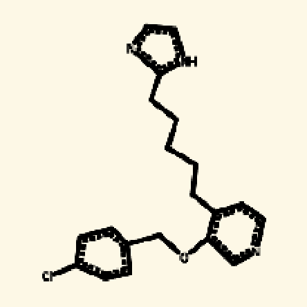 Clc1ccc(COc2cnccc2CCCCCc2ncc[nH]2)cc1